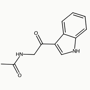 CC(=O)NCC(=O)c1c[nH]c2ccccc12